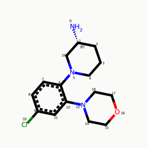 N[C@@H]1CCCN(c2c[c]c(Cl)cc2N2CCOCC2)C1